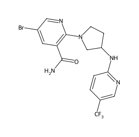 NC(=O)c1cc(Br)cnc1N1CCC(Nc2ccc(C(F)(F)F)cn2)C1